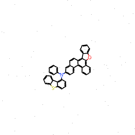 c1ccc(N(c2ccc3c(ccc4c3c3ccccc3c3oc5ccccc5c43)c2)c2cccc3sc4ccccc4c23)cc1